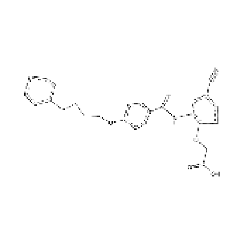 N#Cc1ccc(OCC(=O)O)c(NC(=O)c2ccc(OCCCCc3ccccc3)cc2)c1